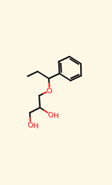 CCC(OCC(O)CO)c1ccccc1